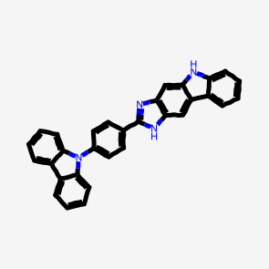 c1ccc2c(c1)[nH]c1cc3nc(-c4ccc(-n5c6ccccc6c6ccccc65)cc4)[nH]c3cc12